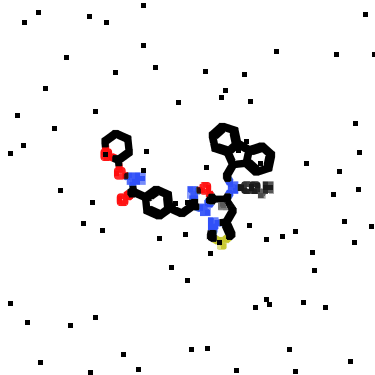 O=C(NOC1CCCCO1)c1ccc(Cc2noc([C@H](Cc3cscn3)N(CC3c4ccccc4-c4ccccc43)C(=O)O)n2)cc1